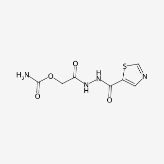 NC(=O)OCC(=O)NNC(=O)c1cncs1